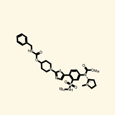 COC(=O)N(c1ccc(-c2cnc(N3CCC(OC(=O)NCc4ccccc4)CC3)s2)c(S(=O)(=O)NC(C)(C)C)c1)[C@@H]1CCCN1C